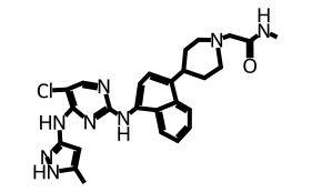 CNC(=O)CN1CCC(c2ccc(Nc3ncc(Cl)c(Nc4cc(C)[nH]n4)n3)c3ccccc23)CC1